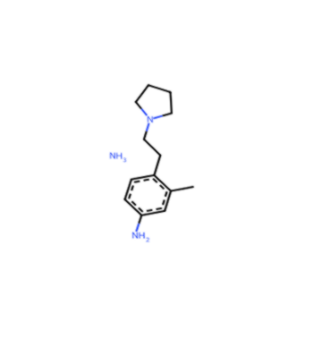 Cc1cc(N)ccc1CCN1CCCC1.N